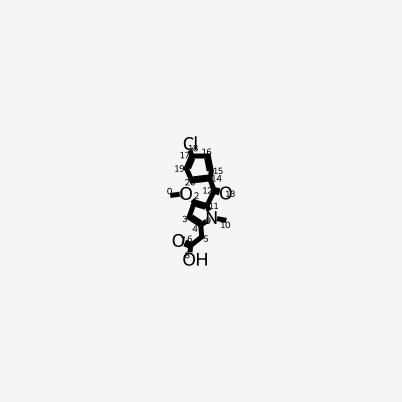 COc1cc(CC(=O)O)n(C)c1C(=O)c1ccc(Cl)cc1